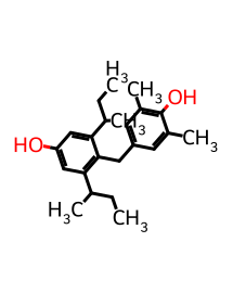 CCC(C)c1cc(O)cc(C(C)CC)c1Cc1cc(C)c(O)c(C)c1